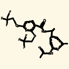 CC(=O)Nc1cc(C(C)NC(=O)c2ccc(OCC(F)(F)F)nc2OCC(F)(F)F)cc(C)n1